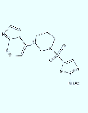 CC(=O)Nc1ncc(S(=O)(=O)N2CCC[C@@H](c3ccnc4ncnn34)C2)s1